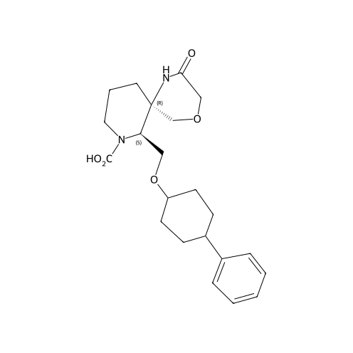 O=C1COC[C@]2(CCCN(C(=O)O)[C@@H]2COC2CCC(c3ccccc3)CC2)N1